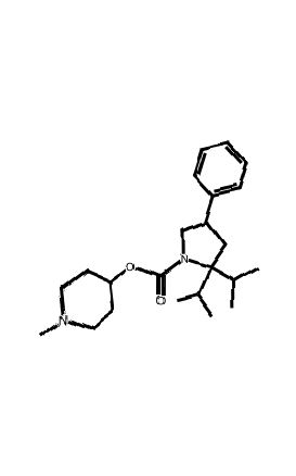 CC(C)C1(C(C)C)CC(c2ccccc2)CN1C(=O)OC1CCN(C)CC1